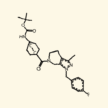 Cc1nn(Cc2ccc(F)cc2)c2c1CCN(C(=O)C13CCC(NC(=O)OC(C)(C)C)(CC1)CC3)C2